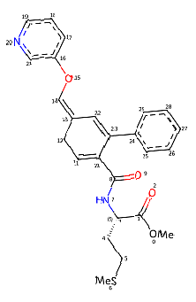 COC(=O)[C@H](CCSC)NC(=O)C1=CCC(=COc2cccnc2)C=C1c1ccccc1